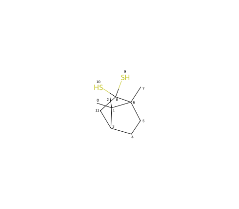 CC1(C)C2CCC1(C)C(S)(S)C2